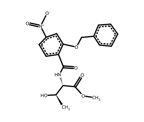 COC(=O)[C@@H](NC(=O)c1ccc([N+](=O)[O-])cc1OCc1ccccc1)[C@@H](C)O